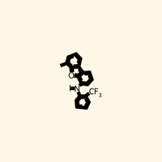 Cc1cccc2c1oc1c(N(I)c3ccccc3C(F)(F)F)cccc12